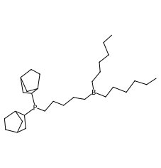 CCCCCCB(CCCCCC)CCCCCP(C1CC2CCC1C2)C1CC2CCC1C2